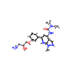 CC(C)n1ncc2c(NC(=O)N(C)C)cc(-c3cccc(OCC(O)CN)c3)nc21